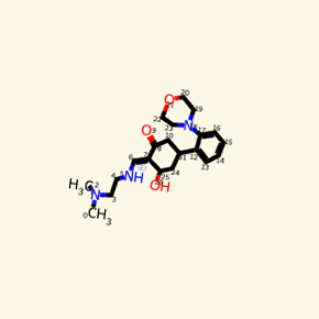 CN(C)CCN/C=C1/C(=O)CC(c2ccccc2N2CCOCC2)CC1O